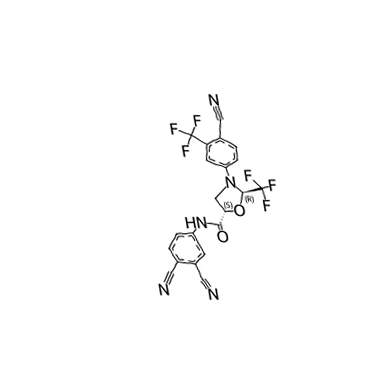 N#Cc1ccc(NC(=O)[C@@H]2CN(c3ccc(C#N)c(C(F)(F)F)c3)[C@@H](C(F)(F)F)O2)cc1C#N